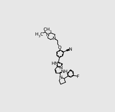 CC(C)N1CCN(CCOc2ccc(-c3cnc(/C=C\C(=N)N4CCCC4c4cccc(F)c4)[nH]3)cc2C#N)CC1